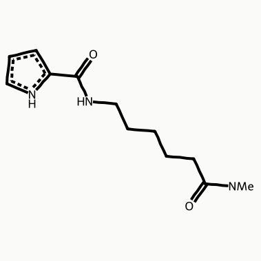 CNC(=O)CCCCCNC(=O)c1ccc[nH]1